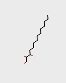 CCCCCCCCCCCC(O)C(O)CO